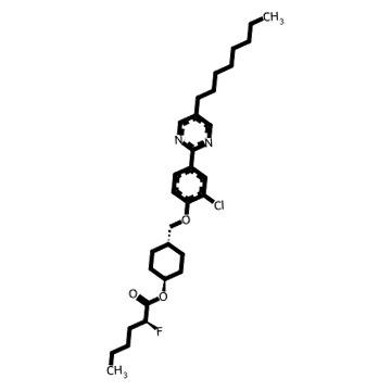 CCCCCCCCc1cnc(-c2ccc(OC[C@H]3CC[C@H](OC(=O)[C@@H](F)CCCC)CC3)c(Cl)c2)nc1